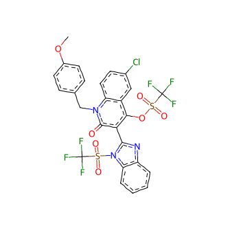 COc1ccc(Cn2c(=O)c(-c3nc4ccccc4n3S(=O)(=O)C(F)(F)F)c(OS(=O)(=O)C(F)(F)F)c3cc(Cl)ccc32)cc1